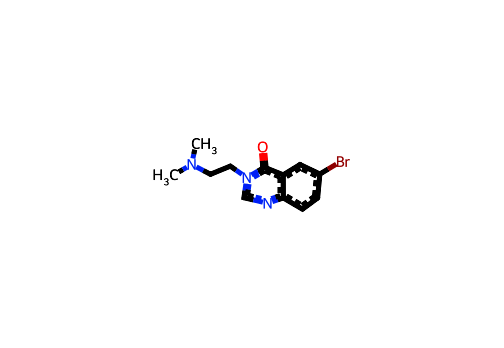 CN(C)CCn1cnc2ccc(Br)cc2c1=O